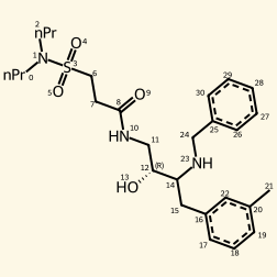 CCCN(CCC)S(=O)(=O)CCC(=O)NC[C@@H](O)C(Cc1cccc(C)c1)NCc1ccccc1